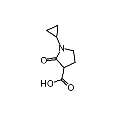 O=C(O)C1CCN(C2CC2)C1=O